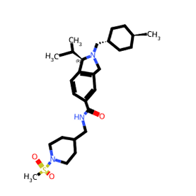 CC(C)[C@@H]1c2ccc(C(=O)NCC3CCN(S(C)(=O)=O)CC3)cc2CN1C[C@H]1CC[C@H](C)CC1